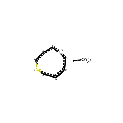 CC(=O)O.c1ccccsccc1